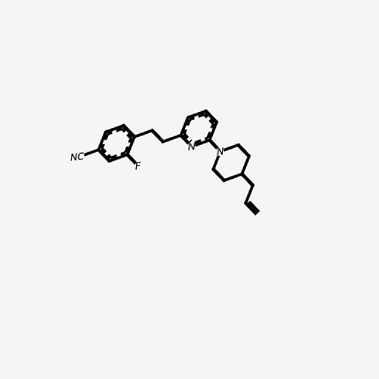 C=CCC1CCN(c2cccc(CCc3ccc(C#N)cc3F)n2)CC1